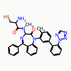 Cc1ccc(-c2ccccc2-n2ncnn2)cc1N1C(=O)C(N(C)C(=O)C(N)CS)N=C(c2ccccc2)c2ccccc21